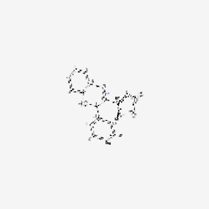 OC(/C(=C\c1ccccc1)n1cncn1)c1ccccc1